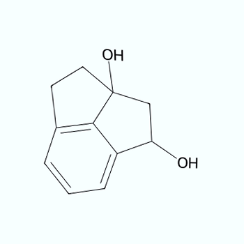 OC1CC2(O)CCc3cccc1c32